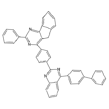 c1ccc(-c2ccc(-c3nc(-c4ccc(-c5nc(-c6ccccc6)nc6c5Cc5ccccc5-6)cc4)nc4ccccc34)cc2)cc1